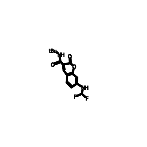 CC(C)(C)NC(=O)c1cc2ccc(NC(F)F)cc2oc1=O